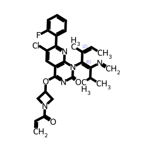 C=CC(=O)N1CC(Oc2nc(=O)n(C(/C(C)=C\C)=C(/N=C)C(C)C)c3nc(-c4ccccc4F)c(Cl)cc23)C1